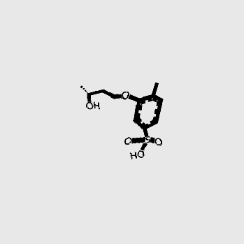 Cc1ccc(S(=O)(=O)O)cc1OCC[C@@H](C)O